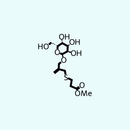 C=C(CO[C@H]1O[C@H](CO)[C@H](O)[C@H](O)[C@H]1O)CSCCC(=O)OC